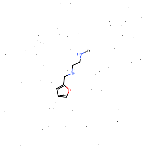 [CH2]CNCCNCc1ccco1